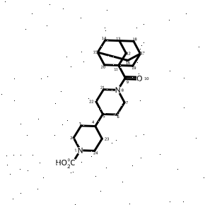 O=C(O)N1CCC(C2CCN(C(=O)C34CC5CC(CC(C5)C3)C4)CC2)CC1